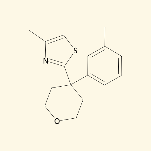 Cc1cccc(C2(c3nc(C)cs3)CCOCC2)c1